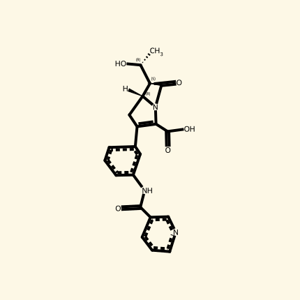 C[C@@H](O)[C@H]1C(=O)N2C(C(=O)O)=C(c3cccc(NC(=O)c4cccnc4)c3)C[C@H]12